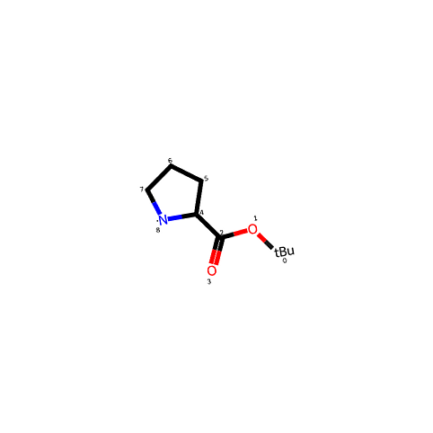 CC(C)(C)OC(=O)[C]1CCC[N]1